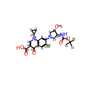 CO[C@H]1CN(c2cc3c(cc2F)c(=O)c(C(=O)O)cn3C2CC2)C[C@@H]1NC(=O)OC(C)(C)C